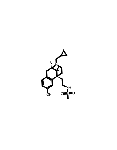 C[C@H]1[C@H]2Cc3ccc(O)cc3[C@@]1(CCNS(C)(=O)=O)CCN2CC1CC1